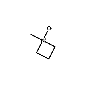 C[N+]1([O])CCC1